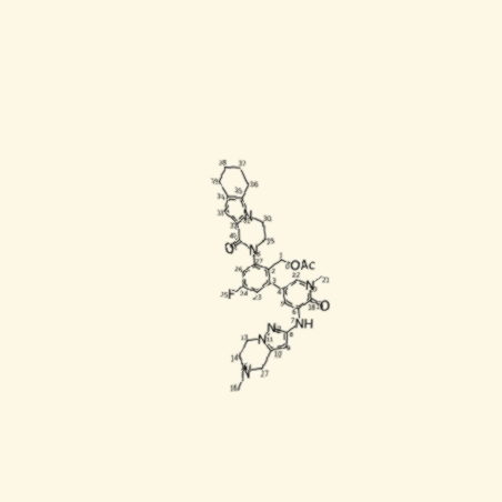 CC(=O)OCc1c(-c2cc(Nc3cc4n(n3)CCN(C)C4)c(=O)n(C)c2)cc(F)cc1N1CCn2c(cc3c2CCCC3)C1=O